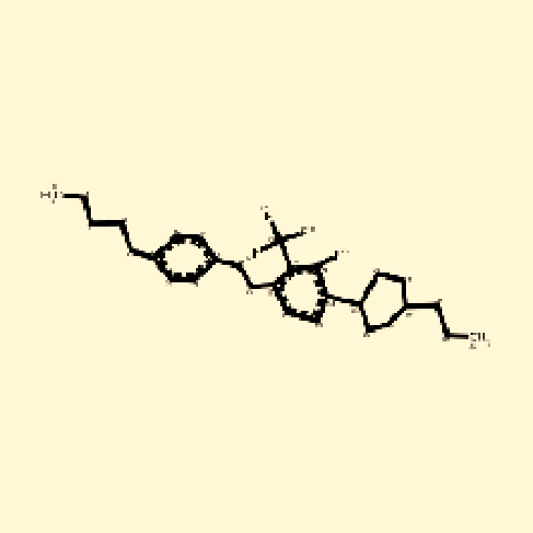 CCCCCc1ccc(CCc2ccc(C3CCC(CCC)CC3)c(F)c2C(F)(F)F)cc1